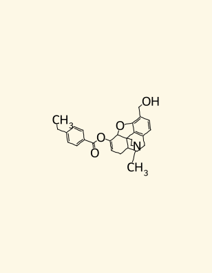 CCc1ccc(C(=O)OC2=CCC3C4Cc5ccc(CO)c6c5C3(CCN4C)C2O6)cc1